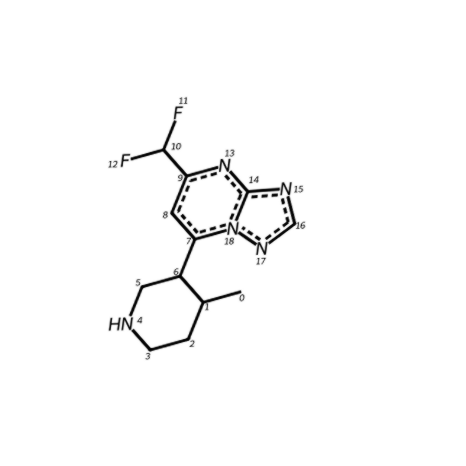 CC1CCNCC1c1cc(C(F)F)nc2ncnn12